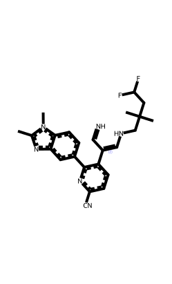 Cc1nc2cc(-c3nc(C#N)ccc3/C(C=N)=C/NCC(C)(C)CC(F)F)ccc2n1C